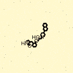 O=C1NCC/C1=C/c1ccccc1OC[C@@H](O)CN1CCC(c2ccc3ccccc3c2)CC1